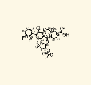 CC1(C)CC(OS(C)(=O)=O)CN1c1nc(-c2cccc(F)c2F)c(Cl)c2c1C(=O)N1CCN(C(=O)O)C[C@@H]1CO2